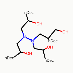 CCCCCCCCCCC(O)CN(CC(O)CCCCCCCCCC)N(CC(O)CCCCCCCCCC)CC(CO)CCCCCCCCCC